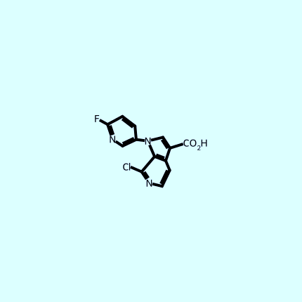 O=C(O)c1cn(-c2ccc(F)nc2)c2c(Cl)nccc12